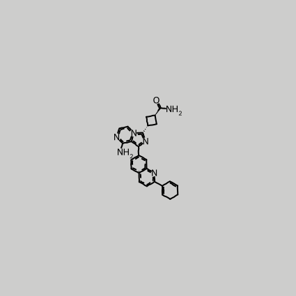 Nc1nccn2c1c(-c1ccc3ccc(C4=CCCC=C4)nc3c1)nc2[C@H]1C[C@H](C(N)=O)C1